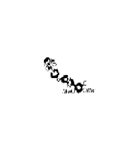 COc1cc(OC)c(-c2cn3ccc(OC4CCN(S(=O)(=O)c5nccn5C)CC4)cc3n2)cc1Cl